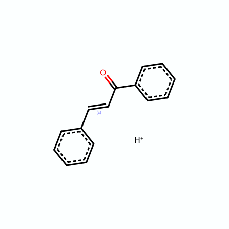 O=C(/C=C/c1ccccc1)c1ccccc1.[H+]